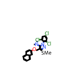 CSc1nn(-c2c(Cl)cc(Cl)cc2Cl)c(N(C)C)c1COc1ccc2ccccc2c1